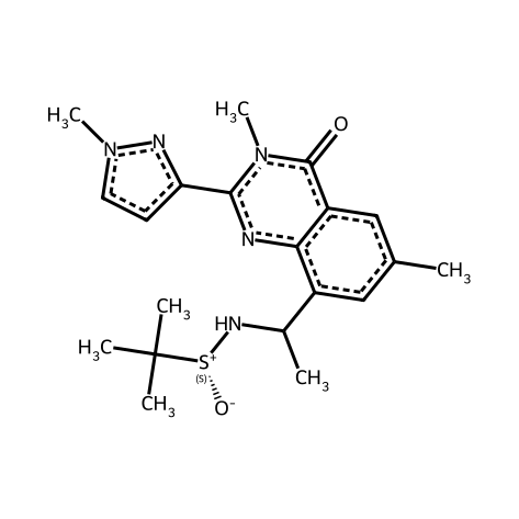 Cc1cc(C(C)N[S@+]([O-])C(C)(C)C)c2nc(-c3ccn(C)n3)n(C)c(=O)c2c1